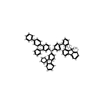 CC1(C)c2ccccc2-c2cccc(-c3ccccc3-c3ccc(N(c4ccc(-c5ccc(-c6ccccc6)cc5)c(-c5ccccc5)c4)c4ccc5c(c4)C4(CCCC4)c4ccccc4-5)cc3)c21